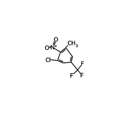 Cc1cc(C(F)(F)F)cc(Cl)c1[N+](=O)[O-]